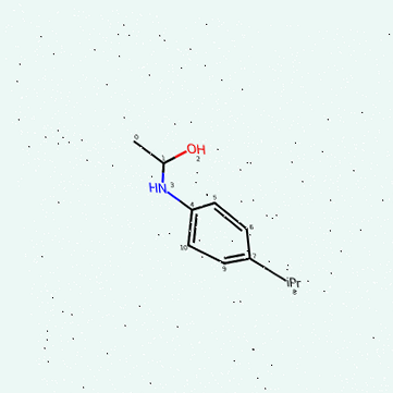 CC(O)Nc1ccc(C(C)C)cc1